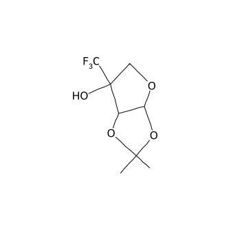 CC1(C)OC2OCC(O)(C(F)(F)F)C2O1